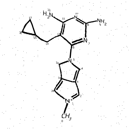 C[N+]1=CC2=CN(c3nc(N)nc(N)c3CC3CC3)CC2=C1